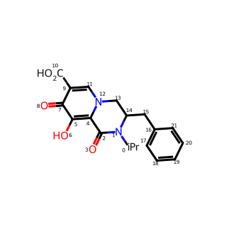 CC(C)N1C(=O)c2c(O)c(=O)c(C(=O)O)cn2CC1Cc1ccccc1